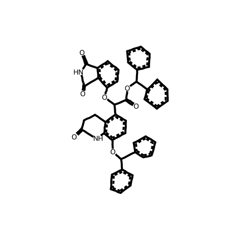 O=C1CCc2c(C(Oc3cccc4c3C(=O)NC4=O)C(=O)OC(c3ccccc3)c3ccccc3)ccc(OC(c3ccccc3)c3ccccc3)c2N1